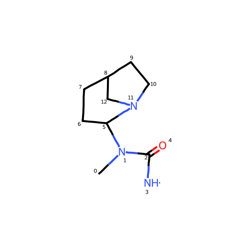 CN(C([NH])=O)C1CCC2CCN1C2